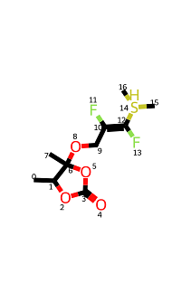 CC1OC(=O)OC1(C)OC/C(F)=C(\F)[SH](C)C